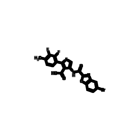 Cc1ccc(-c2scc(NC(=O)c3nc4cc(Br)ccc4o3)c2C(=O)O)c(F)c1F